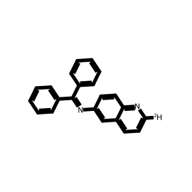 [2H]c1ccc2cc(N=C(c3ccccc3)c3ccccc3)ccc2n1